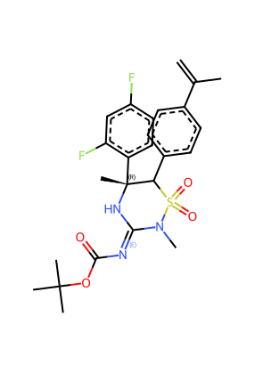 C=C(C)c1ccc(C2[C@@](C)(c3ccc(F)cc3F)N/C(=N\C(=O)OC(C)(C)C)N(C)S2(=O)=O)cc1